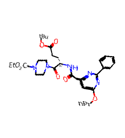 CCCOc1cc(C(=O)N[C@@H](CCC(=O)OC(C)(C)C)C(=O)N2CCN(C(=O)OCC)CC2)nc(-c2ccccc2)n1